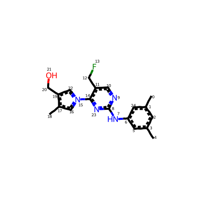 Cc1cc(C)cc(Nc2ncc(CF)c(-n3cc(C)c(CO)c3)n2)c1